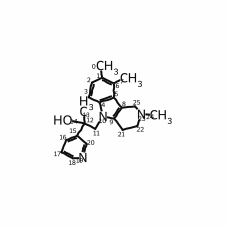 Cc1ccc2c(c1C)c1c(n2CC(C)(O)c2cccnc2)CCN(C)C1